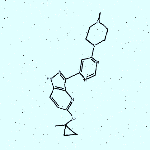 CN1CCN(c2cc(-c3n[nH]c4ccc(OC5(C)CC5)nc34)ncn2)CC1